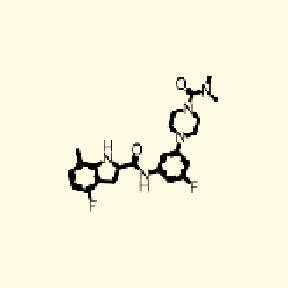 Cc1ccc(F)c2c1NC(C(=O)Nc1cc(F)cc(N3CCN(C(=O)N(C)C)CC3)c1)C2